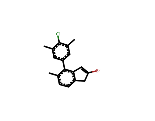 Cc1cc(-c2c(C)ccc3c2C=C(Br)C3)cc(C)c1Cl